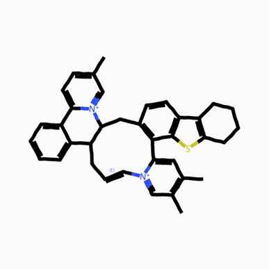 Cc1ccc2[n+](c1)C1Cc3ccc4c5c(sc4c3-c3cc(C)c(C)c[n+]3/C=C/CC1c1ccccc1-2)CCCC5